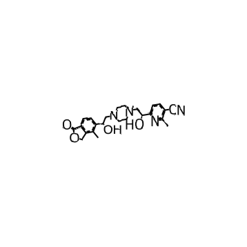 Cc1nc([C@@H](O)CN2CCN(C[C@H](O)c3ccc4c(c3C)COC4=O)CC2)ccc1C#N